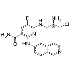 CC[C@H](N)CNc1nc(Nc2ccc3cnccc3c2)c(C(N)=O)cc1F